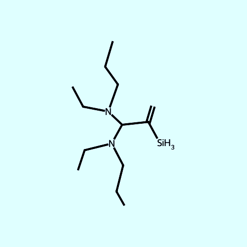 C=C([SiH3])C(N(CC)CCC)N(CC)CCC